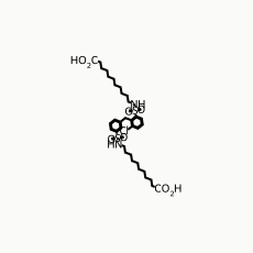 O=C(O)CCCCCCCCCCNS(=O)(=O)c1cccc(Cc2c(Cl)cccc2S(=O)(=O)NCCCCCCCCCCC(=O)O)c1